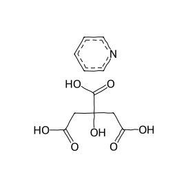 O=C(O)CC(O)(CC(=O)O)C(=O)O.c1ccncc1